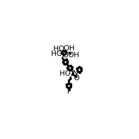 O=C1[C@H](CCCc2ccc(F)cc2)[C@@H](c2ccc(-c3ccc(C[C@@H]4O[C@H](CO)[C@@H](O)[C@H](O)[C@H]4O)cc3)cc2O)N1c1ccccc1